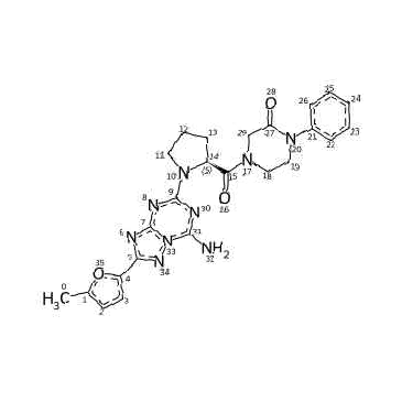 Cc1ccc(-c2nc3nc(N4CCC[C@H]4C(=O)N4CCN(c5ccccc5)C(=O)C4)nc(N)n3n2)o1